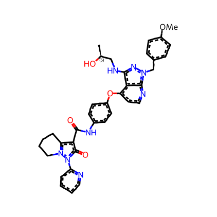 COc1ccc(Cn2nc(NC[C@H](C)O)c3c(Oc4ccc(NC(=O)c5c6n(n(-c7ccccn7)c5=O)CCCC6)cc4)ccnc32)cc1